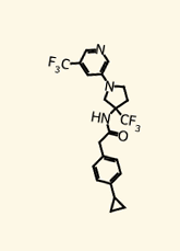 O=C(Cc1ccc(C2CC2)cc1)NC1(C(F)(F)F)CCN(c2cncc(C(F)(F)F)c2)C1